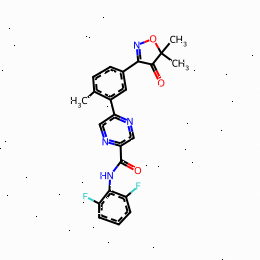 Cc1ccc(C2=NOC(C)(C)C2=O)cc1-c1cnc(C(=O)Nc2c(F)cccc2F)cn1